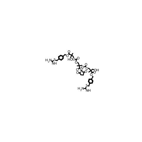 CC(CO)(COC(=O)OCC(C)(COC(=O)OCC(C)(CO)C(=O)OCc1ccc(CSC(=N)N)cc1)C(=O)ON1C(=O)CCC1=O)C(=O)OCc1ccc(CSC(=N)N)cc1